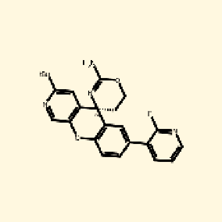 CC(C)(C)c1cc2c(cn1)Oc1ccc(-c3cccnc3F)cc1[C@@]21CCOC(N)=N1